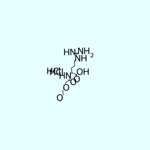 COCCOCC(=O)NC(CCCNC(=N)N)C(=O)O.Cl.Cl